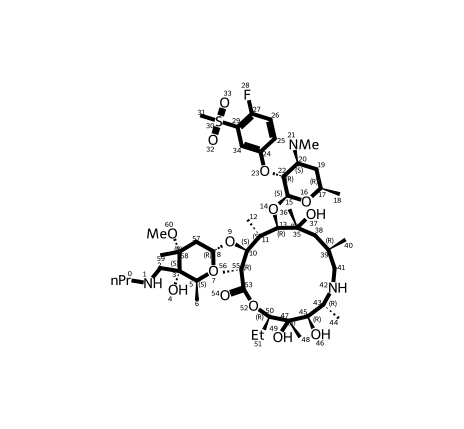 CCCNC[C@]1(O)[C@H](C)O[C@@H](O[C@H]2[C@H](C)[C@@H](O[C@@H]3O[C@H](C)C[C@H](NC)[C@H]3Oc3ccc(F)c(S(C)(=O)=O)c3)[C@](C)(O)C[C@@H](C)CN[C@H](C)[C@@H](O)[C@](C)(O)[C@@H](CC)OC(=O)[C@@H]2C)C[C@@]1(C)OC